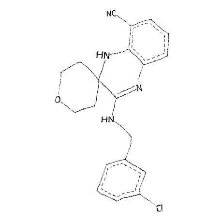 N#Cc1cccc2c1NC1(CCOCC1)C(NCc1cccc(Cl)c1)=N2